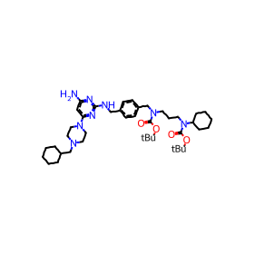 CC(C)(C)OC(=O)N(CCCN(C(=O)OC(C)(C)C)C1CCCCC1)Cc1ccc(CNc2nc(N)cc(N3CCN(CC4CCCCC4)CC3)n2)cc1